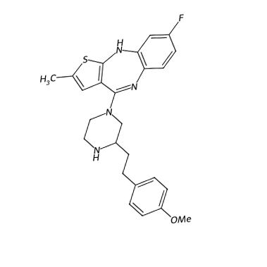 COc1ccc(CCC2CN(C3=Nc4ccc(F)cc4Nc4sc(C)cc43)CCN2)cc1